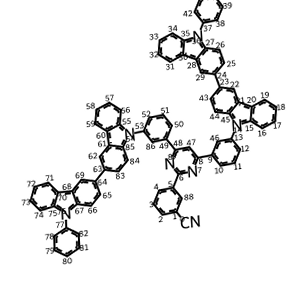 N#Cc1cccc(-c2nc(-c3cccc(-n4c5ccccc5c5cc(-c6ccc7c(c6)c6ccccc6n7-c6ccccc6)ccc54)c3)cc(-c3cccc(-n4c5ccccc5c5cc(-c6ccc7c(c6)c6ccccc6n7-c6ccccc6)ccc54)c3)n2)c1